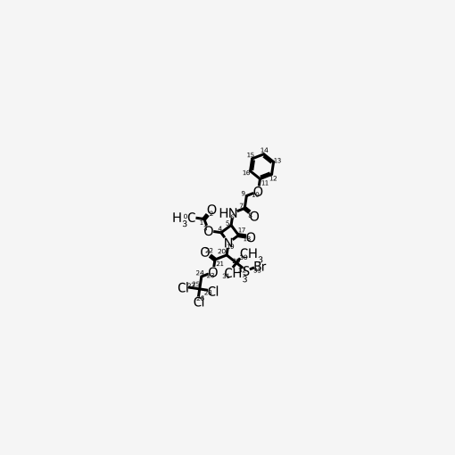 CC(=O)OC1C(NC(=O)COc2ccccc2)C(=O)N1C(C(=O)OCC(Cl)(Cl)Cl)C(C)(C)SBr